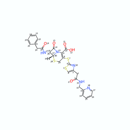 O=C(Cc1csc(SC2=C(C(=O)O)N3C(=O)[C@@H](NC(=O)Cc4ccccc4)[C@H]3SC2)n1)NCc1ccccn1